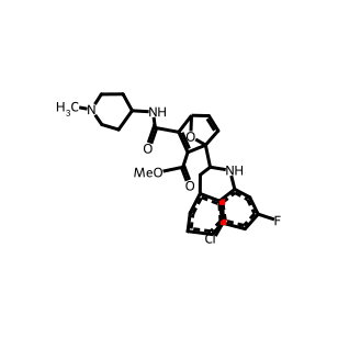 COC(=O)C1=C(C(=O)NC2CCN(C)CC2)C2C=CC1(C(Cc1ccccc1)Nc1cc(F)cc(Cl)c1)O2